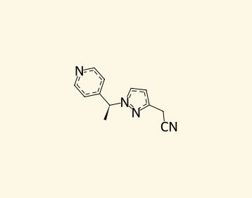 C[C@@H](c1ccncc1)n1ccc(CC#N)n1